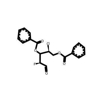 O=C[C@@H](F)C(OC(=O)c1ccccc1)[C@@H](Cl)COC(=O)c1ccccc1